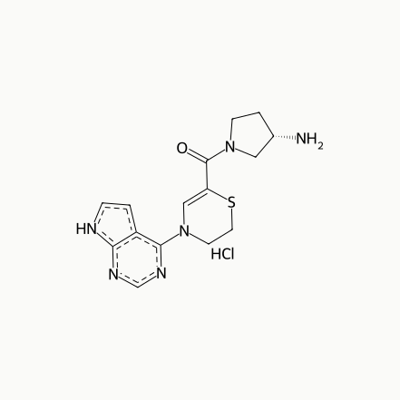 Cl.N[C@H]1CCN(C(=O)C2=CN(c3ncnc4[nH]ccc34)CCS2)C1